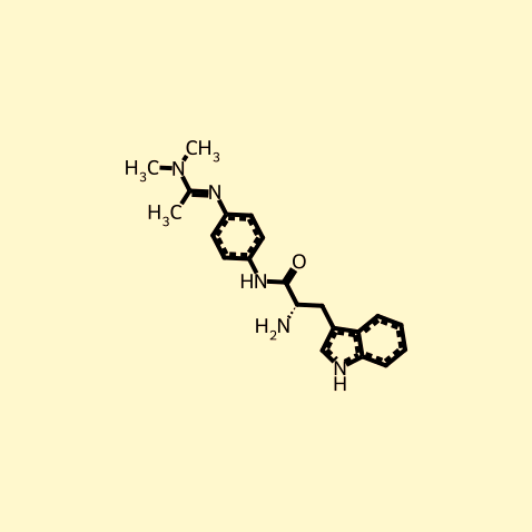 C/C(=N\c1ccc(NC(=O)[C@@H](N)Cc2c[nH]c3ccccc23)cc1)N(C)C